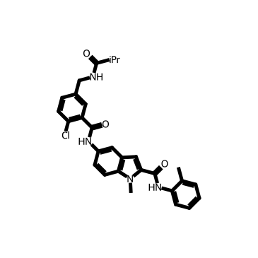 Cc1ccccc1NC(=O)c1cc2cc(NC(=O)c3cc(CNC(=O)C(C)C)ccc3Cl)ccc2n1C